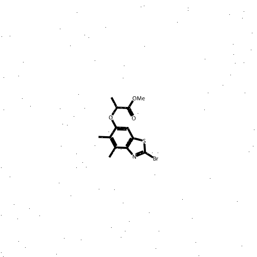 COC(=O)C(C)Oc1cc2sc(Br)nc2c(C)c1C